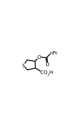 CCCC(=O)OC1CSCC1C(=O)O